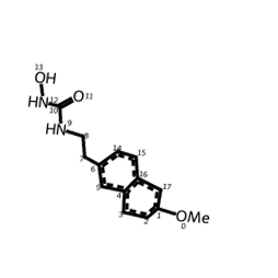 COc1ccc2cc(CCNC(=O)NO)ccc2c1